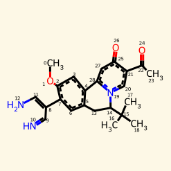 COc1cc2c(cc1/C(C=N)=C/N)CC(C(C)(C)C)n1cc(C(C)=O)c(=O)cc1-2